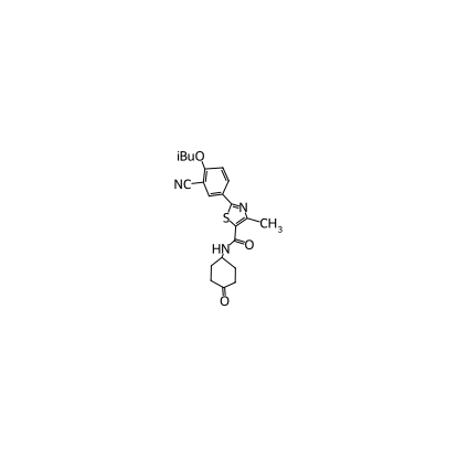 Cc1nc(-c2ccc(OCC(C)C)c(C#N)c2)sc1C(=O)NC1CCC(=O)CC1